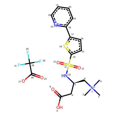 C[N+](C)(C)C[C@@H](CC(=O)O)NS(=O)(=O)c1ccc(-c2ccccn2)s1.O=C([O-])C(F)(F)F